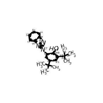 CC(C)(C)c1cc(-n2n3c4ccccc4n23)c(O)c(C(C)(C)C)c1